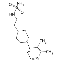 Cc1ncnc(N2CCC(CCNS(N)(=O)=O)CC2)c1C